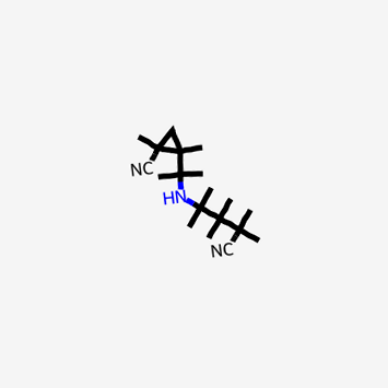 CC(C)(C#N)C(C)(C)C(C)(C)NC(C)(C)C1(C)CC1(C)C#N